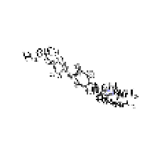 CC(C)Oc1ccc(-c2ccc(SNC(C)(C)/C(=C/N)NN)cc2)cc1